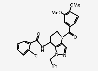 COc1ccc(C(=O)N2CCC(NC(=O)c3ccccc3Cl)c3c2cnn3CC(C)C)cc1OC